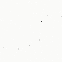 O=C(O)CC(O)/C=C/CCS